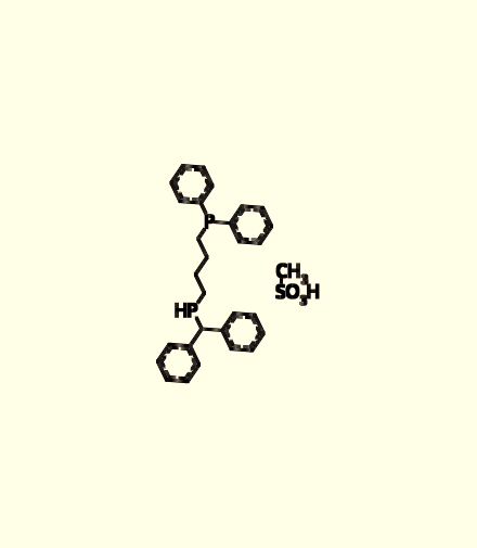 CS(=O)(=O)O.c1ccc(C(PCCCCP(c2ccccc2)c2ccccc2)c2ccccc2)cc1